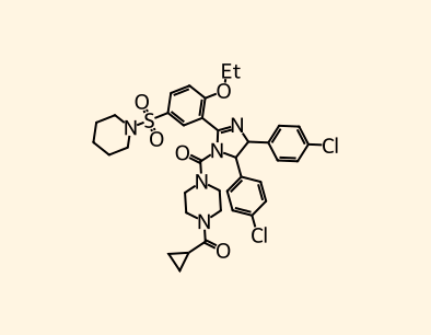 CCOc1ccc(S(=O)(=O)N2CCCCC2)cc1C1=NC(c2ccc(Cl)cc2)C(c2ccc(Cl)cc2)N1C(=O)N1CCN(C(=O)C2CC2)CC1